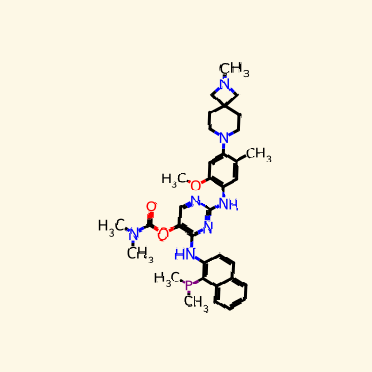 COc1cc(N2CCC3(CC2)CN(C)C3)c(C)cc1Nc1ncc(OC(=O)N(C)C)c(Nc2ccc3ccccc3c2P(C)C)n1